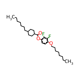 CCCCCCCCOc1ccc(OC(=O)C2CCC(CCCCCCC)CC2)c(F)c1F